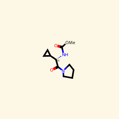 COC(=O)N[C@H](C(=O)N1CCCC1)C1CC1